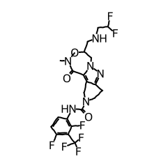 CN1OC(CNCC(F)F)Cn2nc3c(c2C1=O)CN(C(=O)Nc1ccc(F)c(C(F)(F)F)c1F)CC3